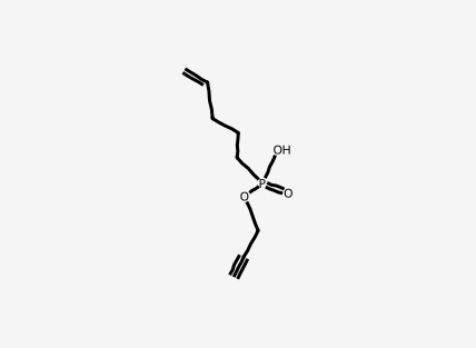 C#CCOP(=O)(O)CCCC=C